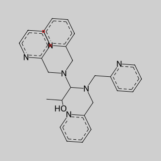 CC(O)C(N(Cc1ccccn1)Cc1ccccn1)N(Cc1ccccn1)Cc1ccccn1